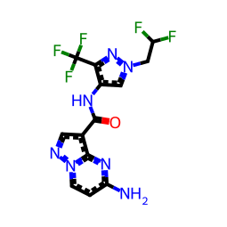 Nc1ccn2ncc(C(=O)Nc3cn(CC(F)F)nc3C(F)(F)F)c2n1